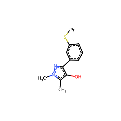 Cc1c(O)c(-c2cccc(SC(C)C)c2)nn1C